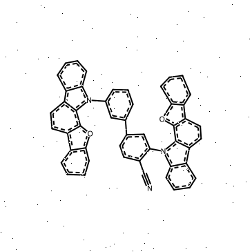 N#Cc1ccc(-c2cccc(-n3c4ccccc4c4ccc5c6ccccc6oc5c43)c2)cc1-n1c2ccccc2c2ccc3c4ccccc4oc3c21